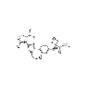 NC(=O)C1(Nc2ccc3c(c2)OCCn2cc(N4C(=O)OC[C@H]4C(F)F)nc2-3)COC1